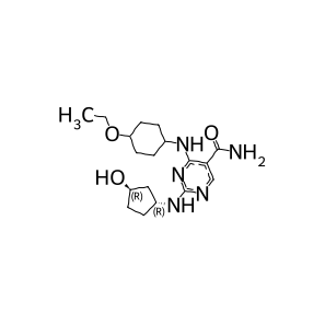 CCOC1CCC(Nc2nc(N[C@@H]3CC[C@@H](O)C3)ncc2C(N)=O)CC1